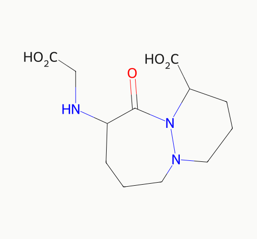 O=C(O)CNC1CCCN2CCCC(C(=O)O)N2C1=O